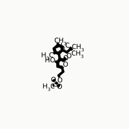 Cc1cc(C)c(-c2c(O)cc(CCOS(C)(=O)=O)oc2=O)c(C(=O)C(C)(C)C)c1